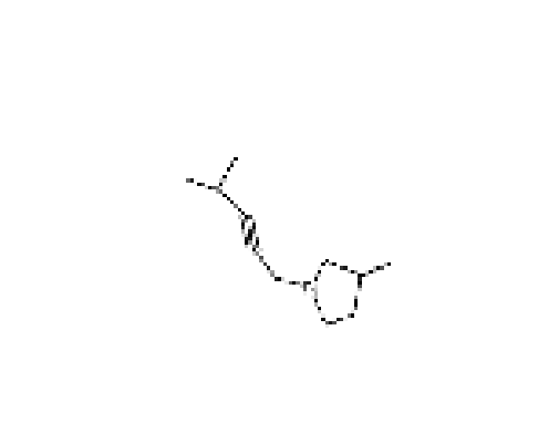 CC(C)C#CCN1CCC(C)C1